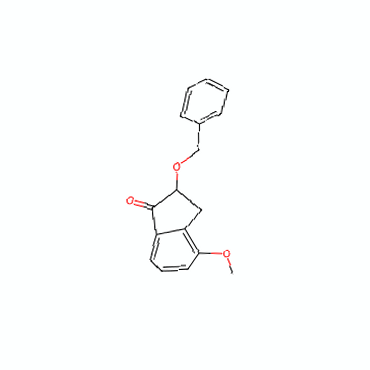 COc1cccc2c1CC(OCc1ccccc1)C2=O